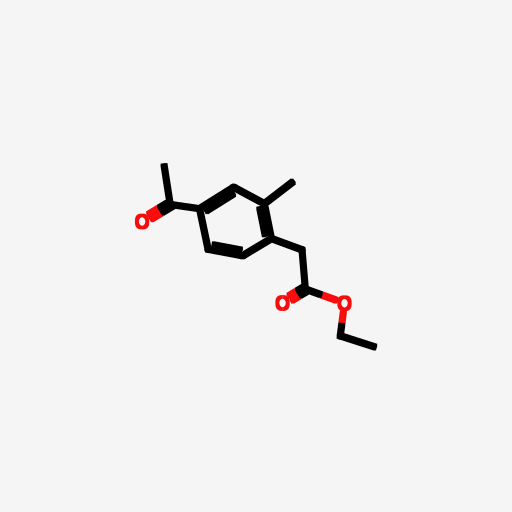 CCOC(=O)Cc1ccc(C(C)=O)cc1C